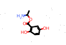 CC(N)OC(=O)c1cc(O)ccc1O